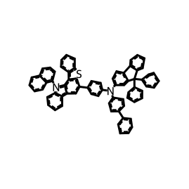 c1ccc(-c2ccc(N(c3ccc(-c4cc5c6ccccc6n(-c6cccc7ccccc67)c5c5c4sc4ccccc45)cc3)c3ccc4c(c3)C(c3ccccc3)(c3ccccc3)c3ccccc3-4)cc2)cc1